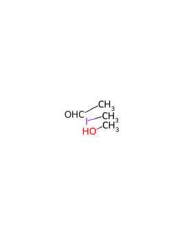 CC=O.CI.CO